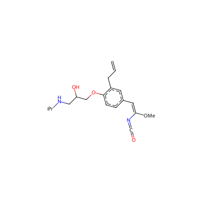 C=CCc1cc(C=C(N=C=O)OC)ccc1OCC(O)CNC(C)C